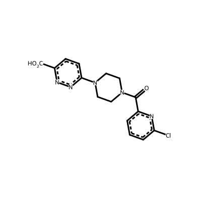 O=C(O)c1ccc(N2CCN(C(=O)c3cccc(Cl)n3)CC2)nn1